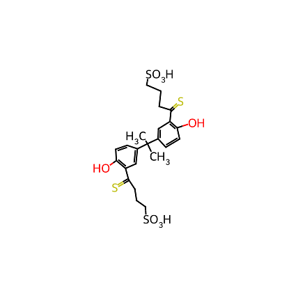 CC(C)(c1ccc(O)c(C(=S)CCCS(=O)(=O)O)c1)c1ccc(O)c(C(=S)CCCS(=O)(=O)O)c1